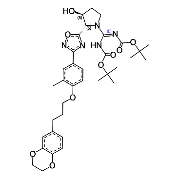 Cc1cc(-c2noc([C@@H]3[C@@H](O)CCN3/C(=N/C(=O)OC(C)(C)C)NC(=O)OC(C)(C)C)n2)ccc1OCCCc1ccc2c(c1)OCCO2